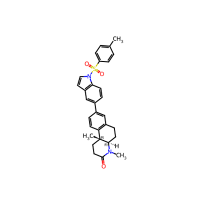 Cc1ccc(S(=O)(=O)n2ccc3cc(-c4ccc5c(c4)CC[C@H]4N(C)C(=O)CC[C@]54C)ccc32)cc1